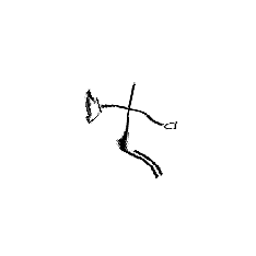 C=CC(C)(Cl)Cl